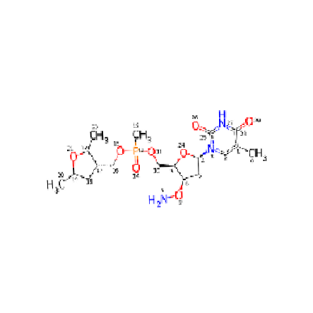 Cc1cn([C@H]2C[C@@H](ON)[C@@H](COP(C)(=O)OC[C@@H]3CC(C)OC3C)O2)c(=O)[nH]c1=O